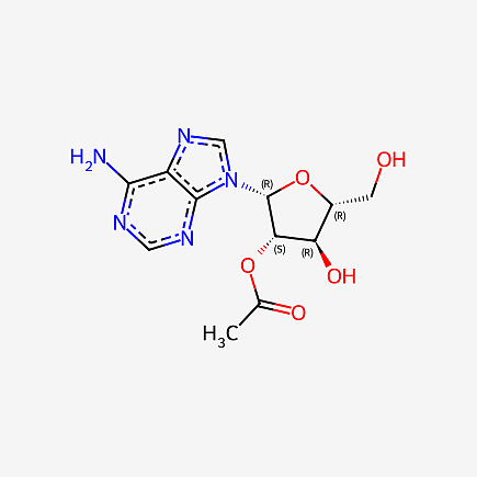 CC(=O)O[C@H]1[C@H](O)[C@@H](CO)O[C@H]1n1cnc2c(N)ncnc21